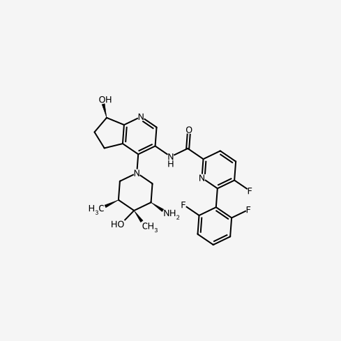 C[C@H]1CN(c2c(NC(=O)c3ccc(F)c(-c4c(F)cccc4F)n3)cnc3c2CC[C@H]3O)C[C@@H](N)[C@]1(C)O